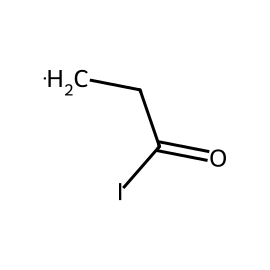 [CH2]CC(=O)I